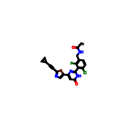 CC(C)C(=O)NCc1ccc(Cl)c(-c2nc(-c3cnc(C#CC4CC4)s3)cc(=O)[nH]2)c1F